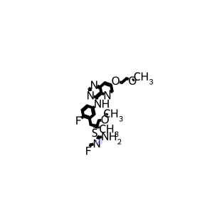 COCCOc1cnc2c(Nc3ccc(F)c(C[C@](C)(COC)S/C(N)=N\CF)c3)ncnc2c1